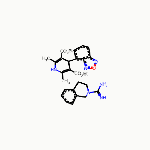 CCOC(=O)C1=C(C)NC(C)=C(C(=O)OCC)C1c1cccc2nonc12.N=C(N)N1CCc2ccccc2C1